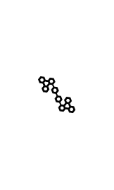 c1ccc2c(c1)c1ccccc1c1c(-c3ccc(-c4ccc(-c5cccc6c7ccccc7c7ccccc7c56)cc4)cc3)cccc21